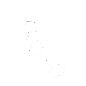 O=C1NC(=S)S/C1=C/c1ccc(OCc2ccccc2I)cc1